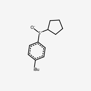 CCC(C)c1ccc([S+]([O-])C2CCCC2)cc1